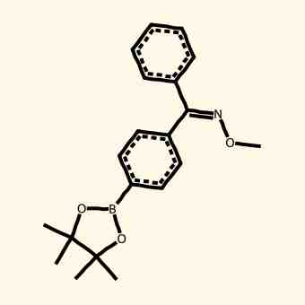 CON=C(c1ccccc1)c1ccc(B2OC(C)(C)C(C)(C)O2)cc1